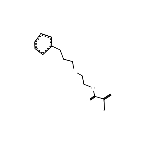 C=C(C)C(=O)OCCOCCCc1ccccc1